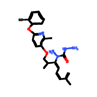 C=C(C)/C=C\C=C(/C(C)COc1ccc(Oc2ccccc2C#N)nc1C)N(N)C(=O)NN